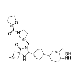 O=C([C@H]1CCCO1)N1CC[C@@H](CN2C(=O)C3(CNC3)NC2C2=CCC(C3C=C4CNNC4CC3)C=C2)C1